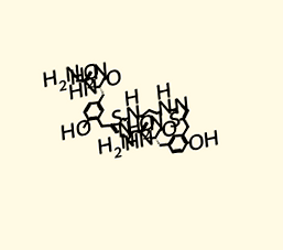 NCC(=O)N[C@@H](Cc1ccc(O)c(Cc2cnc(NCCCNc3ncc(Cc4cc(C[C@H](NC(=O)CN)C(N)=O)ccc4O)s3)s2)c1)C(N)=O